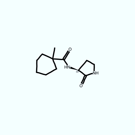 CC1(C(=O)N[C@H]2CCNC2=O)CCCCC1